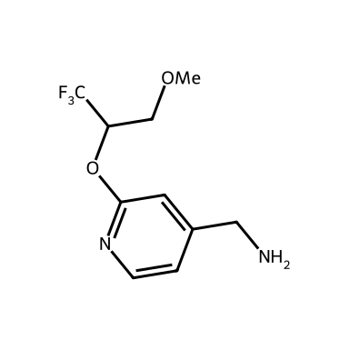 COCC(Oc1cc(CN)ccn1)C(F)(F)F